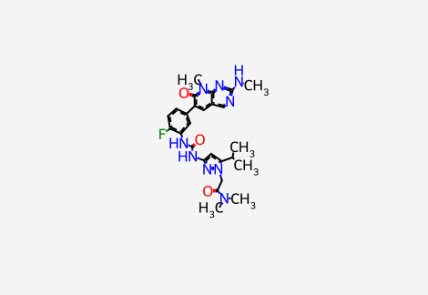 CNc1ncc2cc(-c3ccc(F)c(NC(=O)Nc4cc(C(C)C)n(CC(=O)N(C)C)n4)c3)c(=O)n(C)c2n1